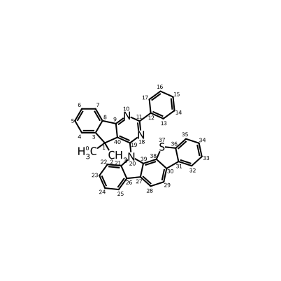 CC1(C)c2ccccc2-c2nc(-c3ccccc3)nc(-n3c4ccccc4c4ccc5c6ccccc6sc5c43)c21